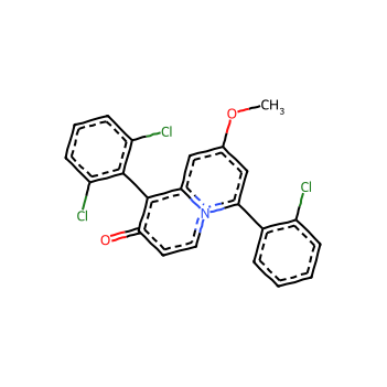 COc1cc(-c2ccccc2Cl)n2ccc(=O)c(-c3c(Cl)cccc3Cl)c2c1